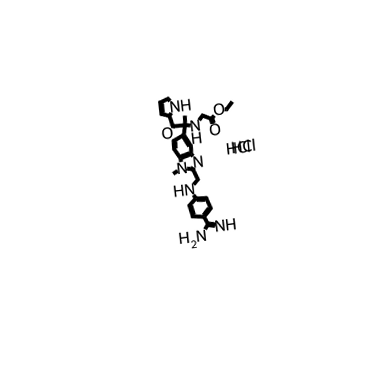 CCOC(=O)CNC(C)(C(=O)C1C=CCN1)c1ccc2c(c1)nc(CNc1ccc(C(=N)N)cc1)n2C.Cl.Cl